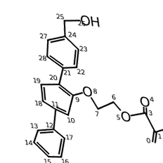 C=C(C)C(=O)OCCOc1cc(-c2ccccc2)ccc1-c1ccc(CO)cc1